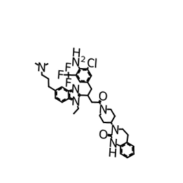 CCn1c(C(CC(=O)N2CCC(N3CCc4ccccc4NC3=O)CC2)Cc2cc(Cl)c(N)c(C(F)(F)F)c2)nc2cc(CCCN(C)C)ccc21